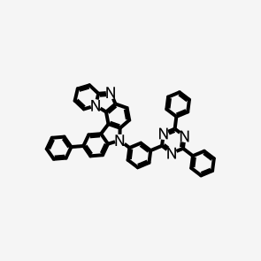 c1ccc(-c2ccc3c(c2)c2c(ccc4nc5ccccn5c42)n3-c2cccc(-c3nc(-c4ccccc4)nc(-c4ccccc4)n3)c2)cc1